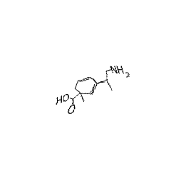 CC(CN)C1=CC(C)(C(=O)O)CC=C1